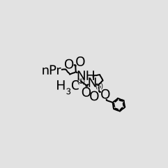 CCCC1CC(N[C@@H](C)C(=O)N2CCC[C@H]2C(=O)OCc2ccccc2)C(=O)O1